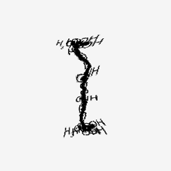 CC(=O)N[C@@H]1C(OCCOCCOCCNC(=O)CCOCCCOCCC(=O)NCCOCCOCCOC2OC(CO)[C@H](O)[C@H](O)[C@@H]2NC(C)=O)OC(CO)[C@H](O)[C@@H]1O